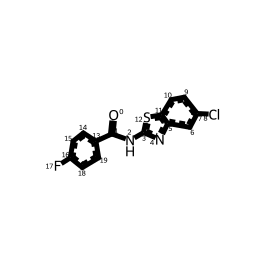 O=C(Nc1nc2cc(Cl)ccc2s1)c1ccc(F)cc1